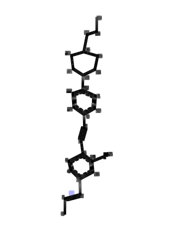 C/C=C/c1ccc(C#Cc2ccc(C3CCC(CCC)CC3)cc2)c(F)c1